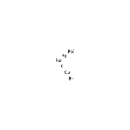 [Bi].[Cu].[Fe].[K].[Na].[Pb]